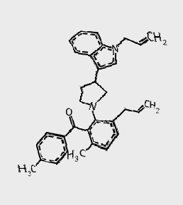 C=C[CH]c1ccc(C)c(C(=O)c2ccc(C)cc2)c1N1CCC(c2cn(CC=C)c3ccccc23)C1